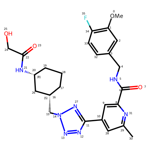 COc1cc(CNC(=O)c2cc(-c3nnn(C[C@H]4CCC[C@@H](NC(=O)CO)C4)n3)cc(C)n2)ccc1F